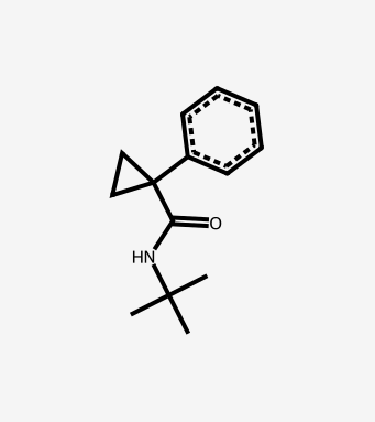 CC(C)(C)NC(=O)C1(c2ccccc2)CC1